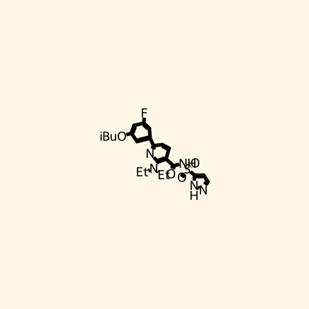 CCN(CC)c1nc(-c2cc(F)cc(OCC(C)C)c2)ccc1C(=O)NS(=O)(=O)c1ccn[nH]1